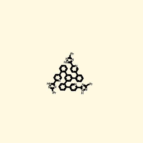 CC(C)c1n[nH]c(-c2ccc(-c3ccccc3-c3cc(-c4ccccc4-c4ccc(-c5nc(C(C)C)n[nH]5)nc4)cc(-c4ccccc4-c4ccc(-c5nc(C(C)C)n[nH]5)nc4)c3)cn2)n1